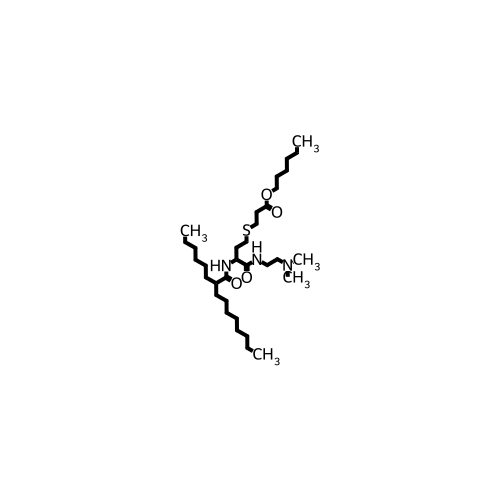 CCCCCCCCC(CCCCCC)C(=O)NC(CCSCCC(=O)OCCCCCC)C(=O)NCCN(C)C